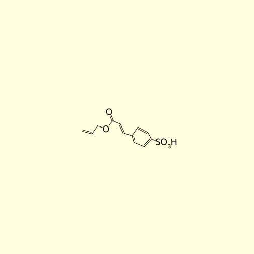 C=CCOC(=O)C=Cc1ccc(S(=O)(=O)O)cc1